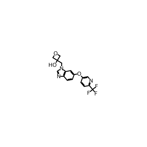 OC1(Cn2cnc3ccc(Oc4ccc(C(F)(F)F)nc4)cc32)COC1